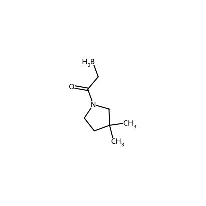 BCC(=O)N1CCC(C)(C)C1